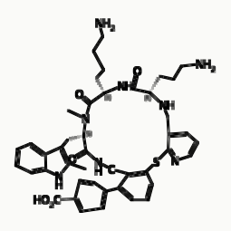 Cc1[nH]c2ccccc2c1C[C@H]1C(=O)NCc2c(cccc2-c2ccc(C(=O)O)cc2)Sc2ncccc2CN[C@@H](CCCN)C(=O)N[C@@H](CCCCN)C(=O)N1C